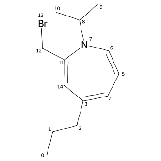 CCCC1=CC=CN(C(C)C)C(CBr)=C1